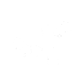 c1ccc2c(c1)cc(-c1cccc3c1oc1ccccc13)c1cc3c(cc12)sc1ccccc13